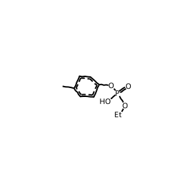 CCOP(=O)(O)Oc1ccc(C)cc1